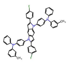 Cc1cccc(N(c2ccccc2)c2ccc(-n3c(-c4ccc(F)cc4)cc4cc5c(cc(-c6ccc(F)cc6)n5-c5ccc(N(c6ccccc6)c6cccc(C)c6)cc5)cc43)cc2)c1